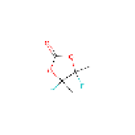 CC1(F)OC(=O)OC1(C)F